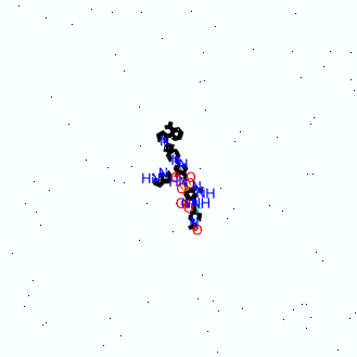 CC(=O)N1CCC(F)(CNc2c([N+](=O)[O-])cc(S(=O)(=O)NC(=O)c3cnc(N4CCC5(CC4)CC(N4CCCC4c4ccccc4C(C)C)C5)cc3Oc3cnc4[nH]ccc4c3)c3nc[nH]c23)CC1